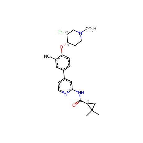 CC1(C)C[C@@H]1C(=O)Nc1cc(-c2ccc(O[C@H]3CCN(C(=O)O)C[C@H]3F)c(C#N)c2)ccn1